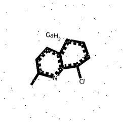 Cc1ccc2cccc(Cl)c2n1.[GaH3]